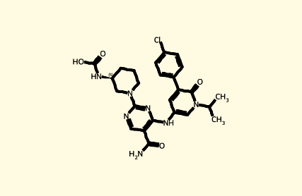 CC(C)n1cc(Nc2nc(N3CCC[C@H](NC(=O)O)C3)ncc2C(N)=O)cc(-c2ccc(Cl)cc2)c1=O